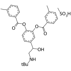 CS(=O)(=O)O.Cc1cccc(C(=O)Oc2ccc(C(O)CNC(C)(C)C)cc2OC(=O)c2cccc(C)c2)c1